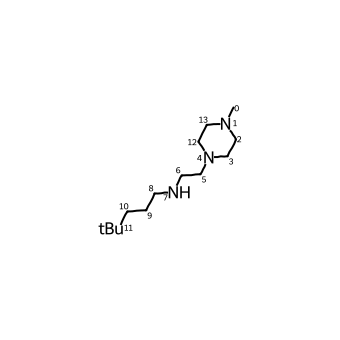 CN1CCN(CCNCCCC(C)(C)C)CC1